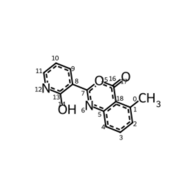 Cc1cccc2nc(-c3cccnc3O)oc(=O)c12